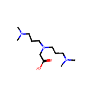 CN(C)CCCN(CCCN(C)C)CC(=O)O